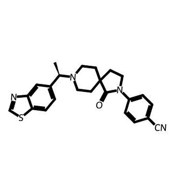 C[C@H](c1ccc2scnc2c1)N1CCC2(CCN(c3ccc(C#N)cc3)C2=O)CC1